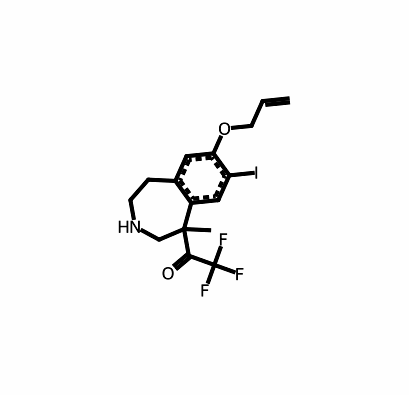 C=CCOc1cc2c(cc1I)C(C)(C(=O)C(F)(F)F)CNCC2